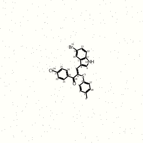 Cc1ccc(SC(=Cc2c[nH]c3ccc(Br)cc23)C(=O)c2ccc(Cl)cc2)cc1